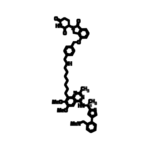 CNCc1ccccc1-c1csc([C@@H](C)Nc2nc(C)nc3c(CCCCCCCNCc4ccc(COc5cccc6c5CN(C5CCC(=O)NC5=O)C6=O)cc4)c(OC)c(OC)cc23)c1